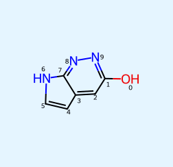 Oc1cc2cc[nH]c2nn1